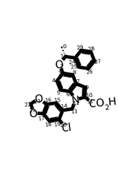 C[C@@H](Oc1ccc2c(c1)cc(C(=O)O)n2Cc1cc2c(cc1Cl)OCO2)c1ccccc1